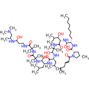 CCC/C=C/C(=O)N1C[C@@H](C)C[C@H]1C(=O)N[C@@H](CCCCCCCC)C(O)N[C@H](C(=O)NC(C)(C)C(O)N[C@@H](CC(C)C)C(=O)N[C@@H](CC(C)C)C(O)NC(C)(C)C(=O)NC(C)(C)C(=O)NCCC(O)N[C@@H](C)CN(C)C)[C@H](O)C(C)C